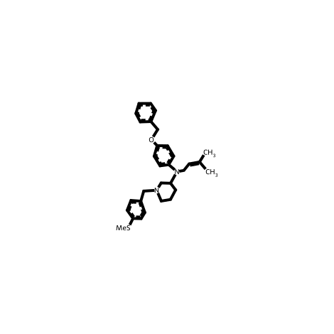 CSc1ccc(CN2CCCC(N(CC=C(C)C)c3ccc(OCc4ccccc4)cc3)C2)cc1